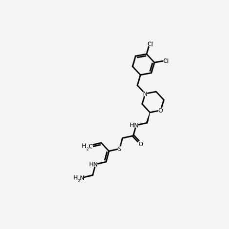 C=C/C(=C\NCN)SCC(=O)NC[C@H]1CN(CC2C=C(Cl)C(Cl)=CC2)CCO1